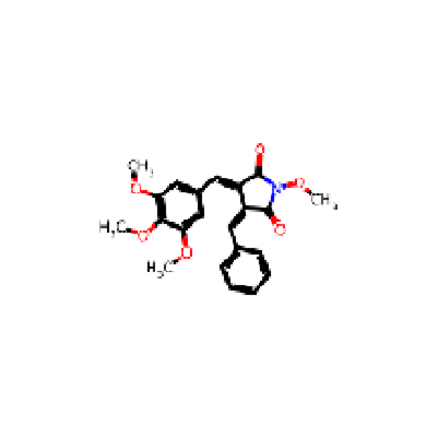 COc1cc(C=C2C(=O)N(OC)C(=O)C2=Cc2ccccc2)cc(OC)c1OC